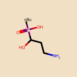 CCCCP(=O)(O)C(O)CCN